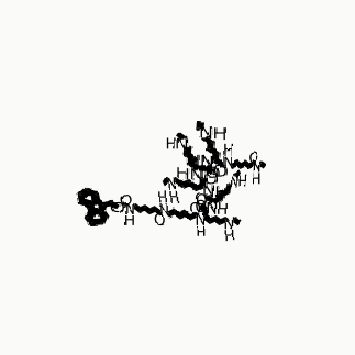 CCNCCCCC(NC(=O)CCCCCNC(=O)CCCCCNC(=O)OCC1c2ccccc2-c2ccccc21)C(=O)NC(CCCCNCC)C(=O)NC(CCCCNCC)C(=O)NC(CCCCNCC)C(=O)NC(CCCCNCC)C(=O)NCCCCCC(=O)NCC